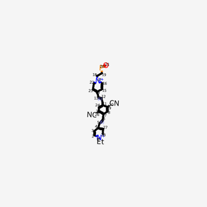 CC[n+]1ccc(/C=C/c2cc(C#N)c(/C=C/c3cc[n+](CCP=O)cc3)cc2C#N)cc1